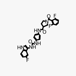 O=C(Nc1ccc(NC(=O)C2CCN(C(=O)c3c(F)cccc3F)C2)cc1)Nc1c[nH]c2ccc(F)cc12